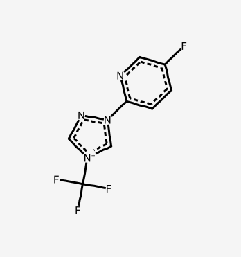 Fc1ccc(-n2c[n+](C(F)(F)F)cn2)nc1